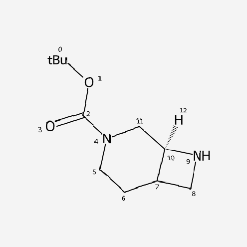 CC(C)(C)OC(=O)N1CCC2CN[C@@H]2C1